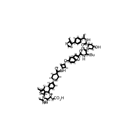 Cc1ncsc1-c1ccc(C(C)NC(=O)[C@@H]2C[C@@H](O)CN2C(=O)C(NC(=O)c2cc3cc(O[C@H]4C[C@@H](NC(=O)C5CCN(c6ccc(C7=N[C@@H](CC(=O)O)c8nnc(C)n8-c8sc(C)c(C)c87)cc6)CC5)C4)ccc3o2)C(C)(C)C)cc1